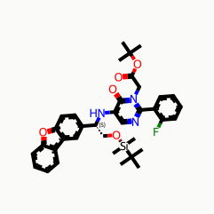 CC(C)(C)OC(=O)Cn1c(-c2ccccc2F)ncc(N[C@H](CO[Si](C)(C)C(C)(C)C)c2ccc3oc4ccccc4c3c2)c1=O